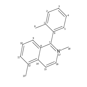 Cc1ccccc1-c1c2cccc(C)c2cc[n+]1C